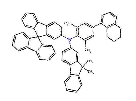 Cc1cc(-c2cccc3c2CCCC3)cc(C)c1N(c1ccc2c(c1)C(C)(C)c1ccccc1-2)c1ccc2c(c1)C1(c3ccccc3-c3ccccc31)c1ccccc1-2